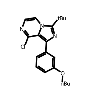 CCCCOc1cccc(-c2nc(C(C)(C)C)n3ccnc(Cl)c23)c1